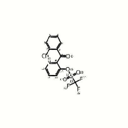 O=C(c1ccccc1Cl)c1ncccc1OS(=O)(=O)C(F)(F)F